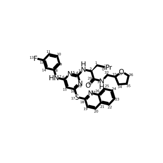 CC(C)C[C@H](Nc1nc(Nc2cccc(F)c2)cc(Sc2ccc3ccccc3n2)n1)C(=O)NCC1CCCO1